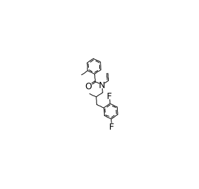 C=CN(CC(C)Cc1cc(F)ccc1F)C(=O)c1ccccc1C